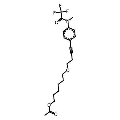 CC(=O)OCCCCCCOCCC#Cc1ccc(N(C)C(=O)C(F)(F)F)cc1